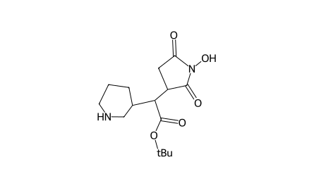 CC(C)(C)OC(=O)C(C1CCCNC1)C1CC(=O)N(O)C1=O